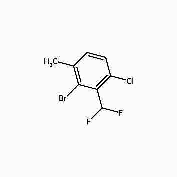 Cc1ccc(Cl)c(C(F)F)c1Br